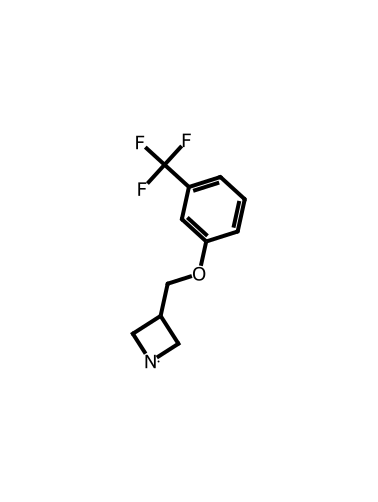 FC(F)(F)c1cccc(OCC2C[N]C2)c1